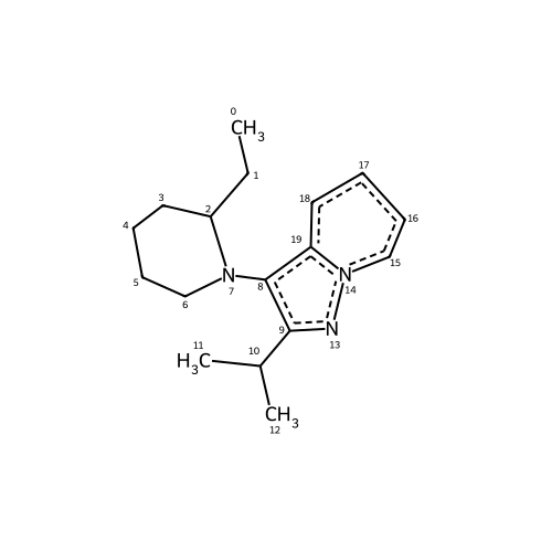 CCC1CCCCN1c1c(C(C)C)nn2ccccc12